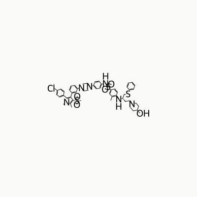 Cc1cc(S(=O)(=O)Nc2ccc(N3CCN(c4cccc(-c5c(S(C)(=O)=O)c(C)n(C)c5-c5ccc(Cl)cc5)c4)CC3)cc2)ccc1N[C@H](CCN1CCC(O)CC1)CSc1ccccc1